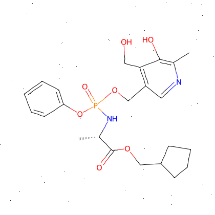 Cc1ncc(COP(=O)(N[C@@H](C)C(=O)OCC2CCCC2)Oc2ccccc2)c(CO)c1O